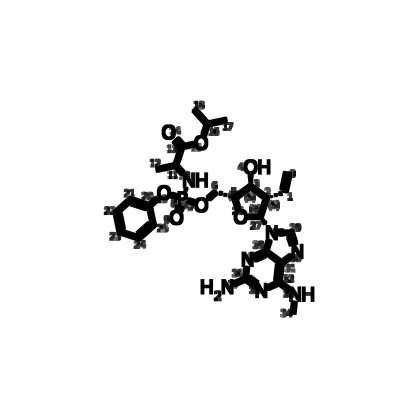 C=C[C@H]1[C@H](O)[C@@H](CO[P@](=O)(NC(C)C(=O)OC(C)C)Oc2ccccc2)O[C@H]1n1cnc2c(NC)nc(N)nc21